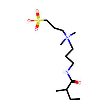 CCC(C)C(=O)NCCC[N+](C)(C)CCCS(=O)(=O)[O-]